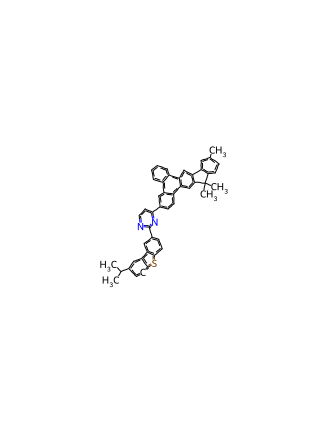 Cc1ccc2c(c1)-c1cc3c4ccccc4c4cc(-c5ccnc(-c6ccc7sc8ccc(C(C)C)cc8c7c6)n5)ccc4c3cc1C2(C)C